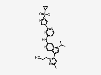 Cc1cc(-c2cn(C(C)C)c3cc(Nc4ccnc(-c5cnn(S(=O)(=O)C6CC6)c5)n4)ncc23)n(CCO)n1